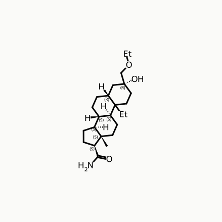 CCOC[C@@]1(O)CCC2(CC)[C@H](CC[C@@H]3[C@@H]2CC[C@]2(C)[C@@H](C(N)=O)CC[C@@H]32)C1